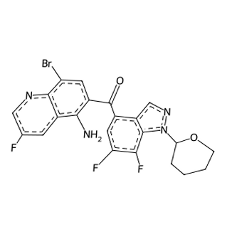 Nc1c(C(=O)c2cc(F)c(F)c3c2cnn3C2CCCCO2)cc(Br)c2ncc(F)cc12